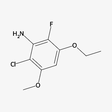 CCOc1cc(OC)c(Cl)c(N)c1F